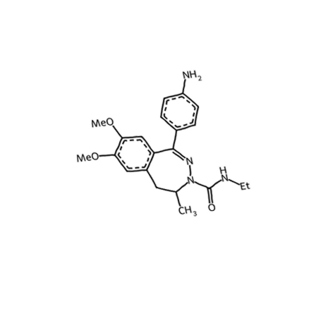 CCNC(=O)N1N=C(c2ccc(N)cc2)c2cc(OC)c(OC)cc2CC1C